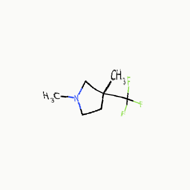 CN1CCC(C)(C(F)(F)F)C1